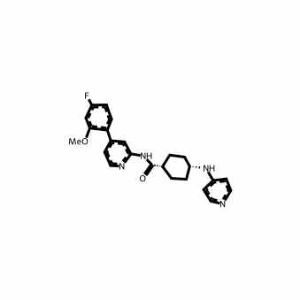 COc1cc(F)ccc1-c1ccnc(NC(=O)[C@H]2CC[C@@H](Nc3ccncc3)CC2)c1